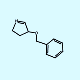 C1=NCCC1OCc1ccccc1